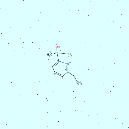 CCc1cccc(C(C)(C)O)n1